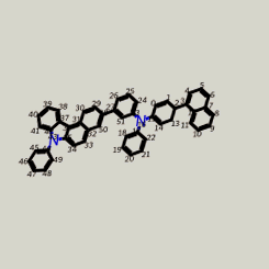 C1=CC(c2cccc3ccccc23)CC=C1N(c1ccccc1)c1cccc(-c2ccc3c(ccc4c3c3ccccc3n4-c3ccccc3)c2)c1